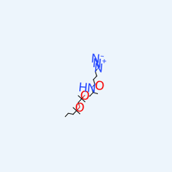 CCCC(C)(C)OCC(C)(C)OCC(C)NC(=O)CCCN=[N+]=[N-]